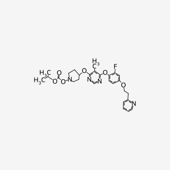 Cc1c(Oc2ccc(OCCc3ccccn3)cc2F)ncnc1OC1CCN(OC(=O)OC(C)C)CC1